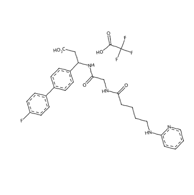 O=C(O)C(F)(F)F.O=C(O)CC(NC(=O)CNC(=O)CCCCNc1ccccn1)c1ccc(-c2ccc(F)cc2)cc1